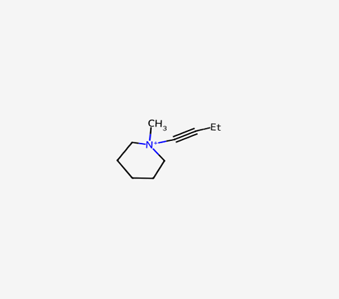 CCC#C[N+]1(C)CCCCC1